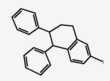 Ic1ccc2c(c1)CCC(c1ccccc1)C2c1ccccc1